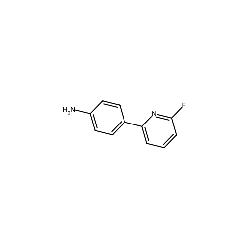 Nc1ccc(-c2cccc(F)n2)cc1